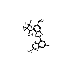 COc1cnc2c(-c3nc4c(C(O)C5(C(F)(F)F)CC5)cc(C=O)cc4s3)cc(C)cc2n1